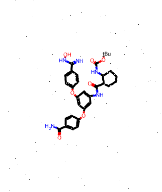 CC(C)(C)OC(=O)NC1CCCCC1C(=O)Nc1cc(Oc2ccc(C(=N)NO)cc2)cc(Oc2ccc(C(N)=O)cc2)c1